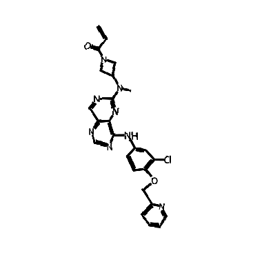 C=CC(=O)N1CC(N(C)c2ncc3ncnc(Nc4ccc(OCc5ccccn5)c(Cl)c4)c3n2)C1